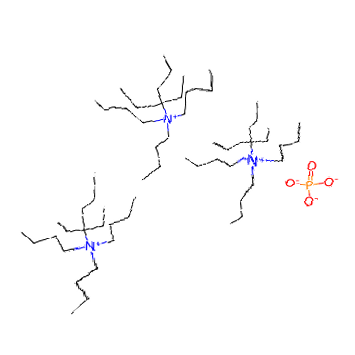 CCCC[N+](CCCC)(CCCC)C(CC)(CC)CCC.CCCC[N+](CCCC)(CCCC)C(CC)(CC)CCC.CCCC[N+](CCCC)(CCCC)C(CC)(CC)CCC.O=P([O-])([O-])[O-]